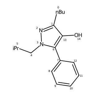 CCCCc1nn(CC(C)C)c(-c2ccccc2)c1O